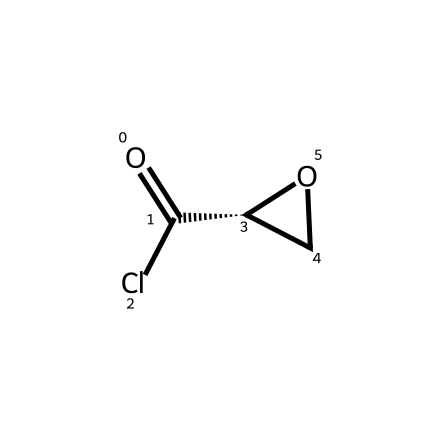 O=C(Cl)[C@H]1CO1